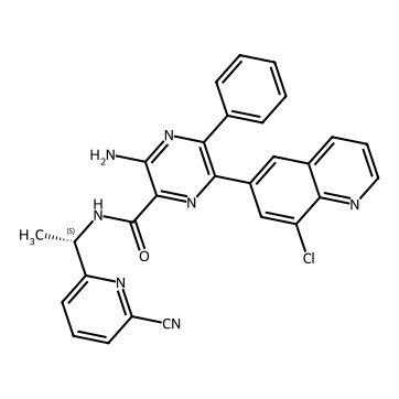 C[C@H](NC(=O)c1nc(-c2cc(Cl)c3ncccc3c2)c(-c2ccccc2)nc1N)c1cccc(C#N)n1